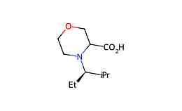 CC[C@H](C(C)C)N1CCOCC1C(=O)O